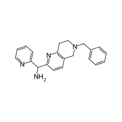 NC(c1ccccn1)c1ccc2c(n1)CCN(Cc1ccccc1)C2